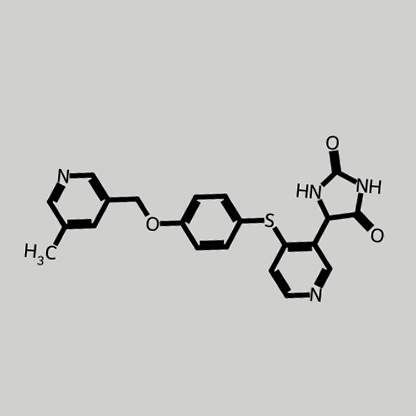 Cc1cncc(COc2ccc(Sc3ccncc3C3NC(=O)NC3=O)cc2)c1